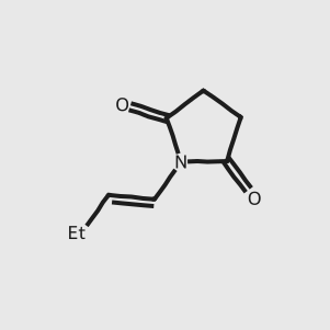 CCC=CN1C(=O)CCC1=O